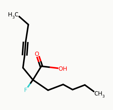 CCC#CCC(F)(CCCCC)C(=O)O